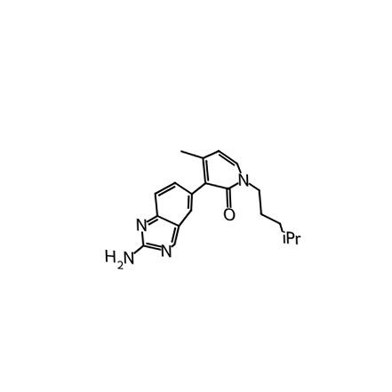 Cc1ccn(CCCC(C)C)c(=O)c1-c1ccc2nc(N)ncc2c1